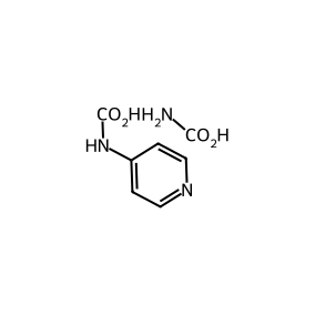 NC(=O)O.O=C(O)Nc1ccncc1